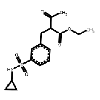 CCOC(=O)C(Cc1cccc(S(=O)(=O)NC2CC2)c1)C(C)=O